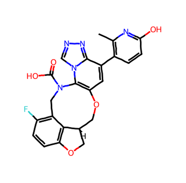 Cc1nc(O)ccc1-c1cc2c(n3cnnc13)N(C(=O)O)Cc1c(F)ccc3c1[C@@H](CO3)CO2